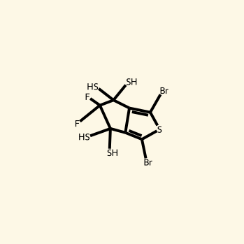 FC1(F)C(S)(S)c2c(Br)sc(Br)c2C1(S)S